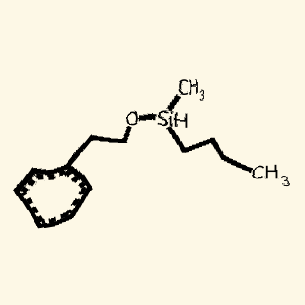 CCCC[SiH](C)OCCc1ccccc1